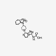 O=C(O)Nc1nnc2c(N3CCC(n4c(=O)[nH]c5ccccc54)CC3)nccn12